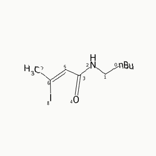 CCCCCNC(=O)C=C(C)I